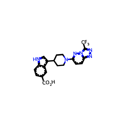 O=C(O)c1ccc2[nH]cc(C3CCN(c4ccc5nnc(C(F)(F)F)n5n4)CC3)c2c1